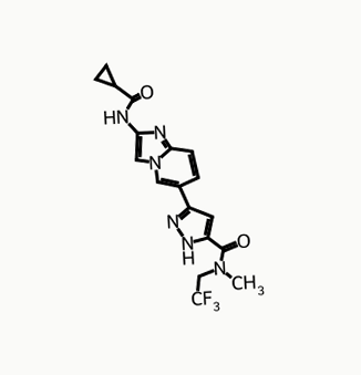 CN(CC(F)(F)F)C(=O)c1cc(-c2ccc3nc(NC(=O)C4CC4)cn3c2)n[nH]1